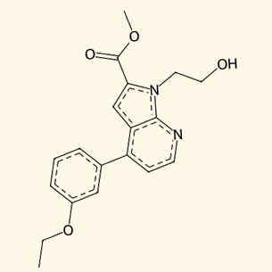 CCOc1cccc(-c2ccnc3c2cc(C(=O)OC)n3CCO)c1